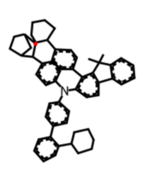 CC1(C)c2ccccc2-c2ccc(N(c3ccc(-c4ccccc4C4CCCCC4)cc3)c3ccc(C4CC5CCC4C5)cc3)c(-c3ccc(C4CCCCC4)cc3)c21